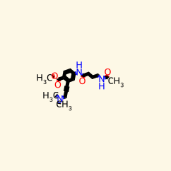 COC(=O)c1ccc(NC(=O)CCCNC(C)=O)cc1C#CCN(C)C